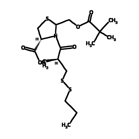 CCCSSC[C@@H](C)C(=O)N1C(COC(=O)C(C)(C)C)SC[C@H]1C(=O)O